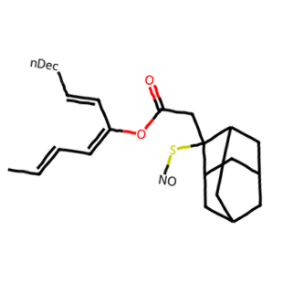 CC=CC=C(C=CCCCCCCCCCC)OC(=O)CC1(SN=O)C2CC3CC(C2)CC1C3